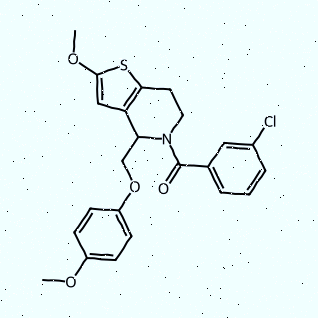 COc1ccc(OCC2c3cc(OC)sc3CCN2C(=O)c2cccc(Cl)c2)cc1